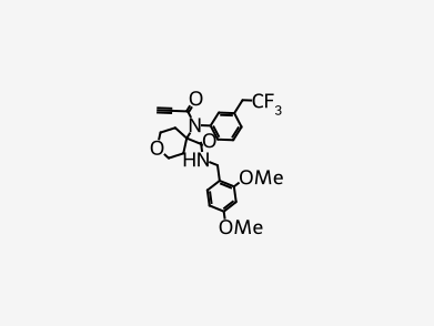 C#CC(=O)N(c1cccc(CC(F)(F)F)c1)C1(C(=O)NCc2ccc(OC)cc2OC)CCOCC1